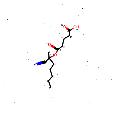 CCCCCC(C)(C#N)OC(=O)CCCC(=O)O